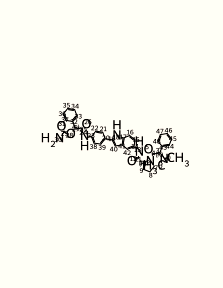 CN(C)[C@@H](C(=O)N1CCC[C@@H]1C(=O)Nc1ccc2[nH]c(-c3ccc(NC(=O)[C@@H](OC(N)=O)c4ccccc4)cc3)cc2c1)c1ccccc1